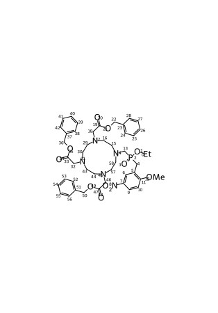 CCOP(=O)(Cc1cc([N+](=O)[O-])ccc1OC)CN1CCN(CC(=O)OCc2ccccc2)CCN(CC(=O)OCc2ccccc2)CCN(CC(=O)OCc2ccccc2)CC1